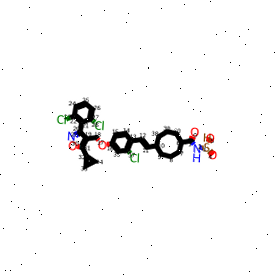 O=C(N[SH](=O)=O)C1CCCC(/C=C/c2ccc(OCc3c(-c4c(Cl)cccc4Cl)noc3C3CC3)cc2Cl)CCC1